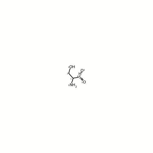 NC(CO)[SH](=O)=O